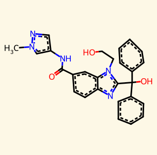 Cn1cc(NC(=O)c2ccc3nc(C(O)(c4ccccc4)c4ccccc4)n(CCO)c3c2)cn1